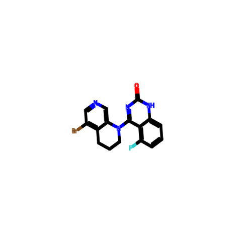 O=c1nc(N2CCCc3c(Br)cncc32)c2c(F)cccc2[nH]1